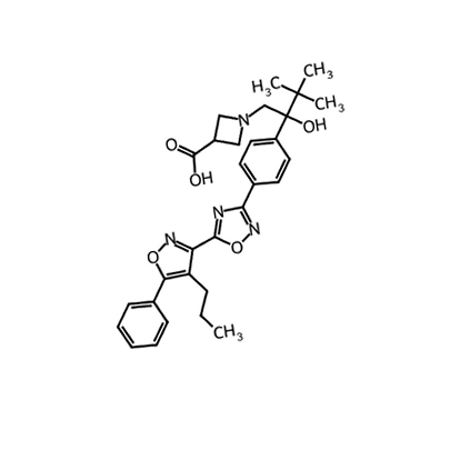 CCCc1c(-c2nc(-c3ccc(C(O)(CN4CC(C(=O)O)C4)C(C)(C)C)cc3)no2)noc1-c1ccccc1